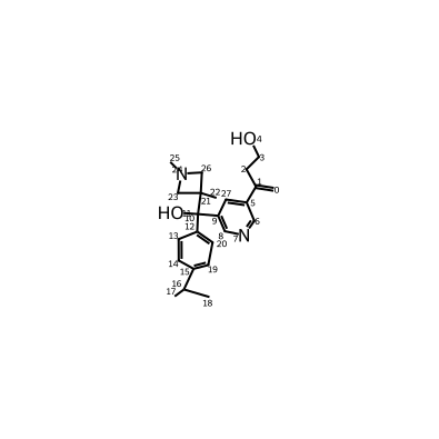 C=C(CCO)c1cncc(C(O)(c2ccc(C(C)C)cc2)C2(C)CN(C)C2)c1